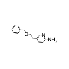 Nc1ccc(CCOCc2ccccc2)cn1